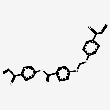 C=CC(=O)c1ccc(OCOc2ccc(C(=O)Oc3ccc(C(=O)C=C)cc3)cc2)cc1